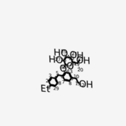 CCc1ccc(Cc2ccc(CCO)cc2O[C@@H]2O[C@H]([C@@H](C)O)[C@@H](O)[C@H](O)[C@H]2O)cc1